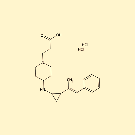 C/C(=C\c1ccccc1)C1CC1NC1CCN(CCC(=O)O)CC1.Cl.Cl